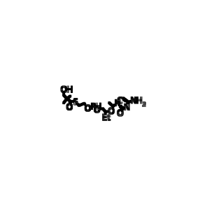 CCC(COPOCCSC(=O)C(C)(C)CO)OC(C)n1ccc(N)nc1=O